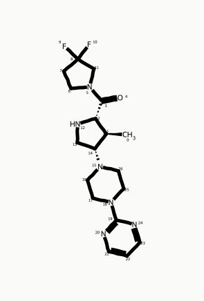 C[C@@H]1[C@@H](C(=O)N2CCC(F)(F)C2)NC[C@H]1N1CCN(c2ncccn2)CC1